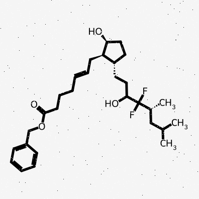 CC(C)C[C@@H](C)C(F)(F)C(O)CC[C@H]1CC[C@H](O)[C@@H]1CC=CCCCC(=O)OCc1ccccc1